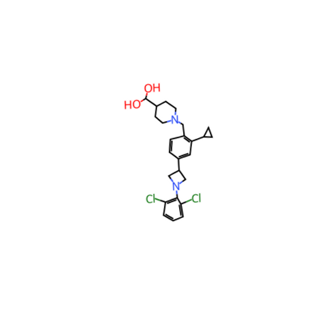 OC(O)C1CCN(Cc2ccc(C3CN(c4c(Cl)cccc4Cl)C3)cc2C2CC2)CC1